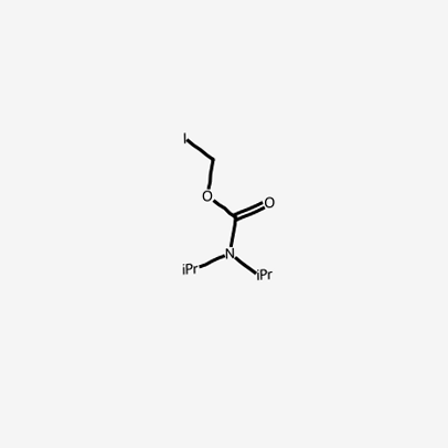 CC(C)N(C(=O)OCI)C(C)C